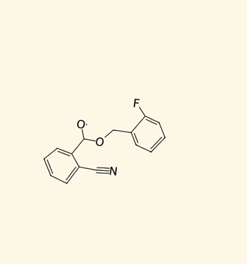 N#Cc1ccccc1C([O])OCc1ccccc1F